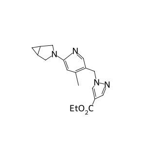 CCOC(=O)c1cnn(Cc2cnc(N3CC4CC4C3)cc2C)c1